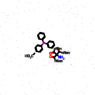 CC(=O)O.CCCCCCCCCC(=O)C(N)(C(=O)CCCCCCCCC)C(=O)CCCCCCCCC.c1ccc(P(c2ccccc2)c2ccccc2)cc1